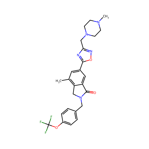 Cc1cc(-c2nc(CN3CCN(C)CC3)no2)cc2c1CN(Cc1ccc(OC(F)(F)F)cc1)C2=O